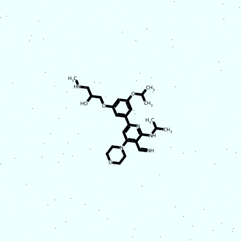 CNCC(O)COc1cc(OC(C)C)cc(-c2cc(N3CCOCC3)c(C=N)c(NC(C)C)n2)c1